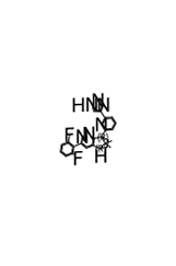 CC1(C)[C@H]2CC[C@@]1(c1cccc(-c3c[nH]nn3)n1)c1nnc(-c3c(F)cccc3F)cc12